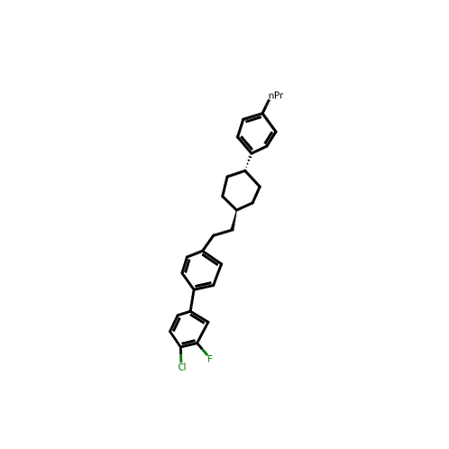 CCCc1ccc([C@H]2CC[C@H](CCc3ccc(-c4ccc(Cl)c(F)c4)cc3)CC2)cc1